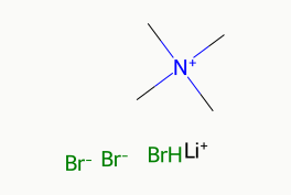 Br.C[N+](C)(C)C.[Br-].[Br-].[Li+]